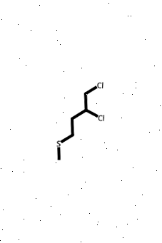 CSCCC(Cl)CCl